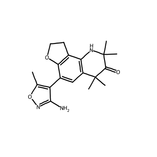 Cc1onc(N)c1-c1cc2c(c3c1OCC3)NC(C)(C)C(=O)C2(C)C